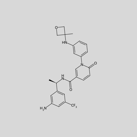 C[C@@H](NC(=O)c1ccc(=O)n(-c2cccc(NC3(C)COC3)c2)c1)c1cc(N)cc(C(F)(F)F)c1